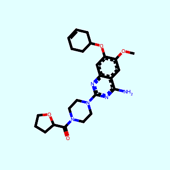 COc1cc2c(N)nc(N3CCN(C(=O)C4CCCO4)CC3)nc2cc1OC1CC=CCC1